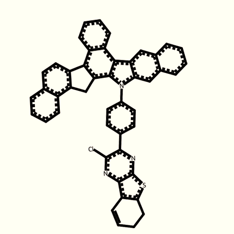 Clc1nc2c3c(sc2nc1-c1ccc(-n2c4cc5ccccc5cc4c4c5ccccc5c5c(c42)Cc2c-5ccc4ccccc24)cc1)CCC=C3